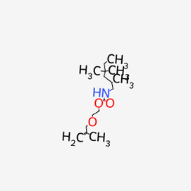 C=C(C)COCCOC(=O)NCC(C)CC(C)(C)CC